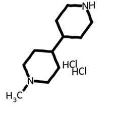 CN1CCC(C2CCNCC2)CC1.Cl.Cl